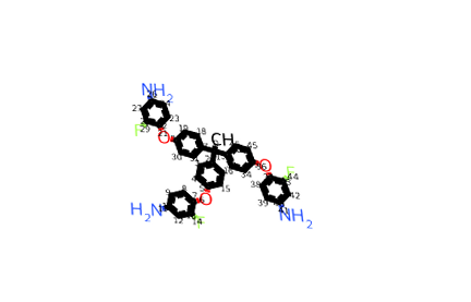 CC(c1ccc(Oc2ccc(N)cc2F)cc1)(c1ccc(Oc2ccc(N)cc2F)cc1)c1ccc(Oc2ccc(N)cc2F)cc1